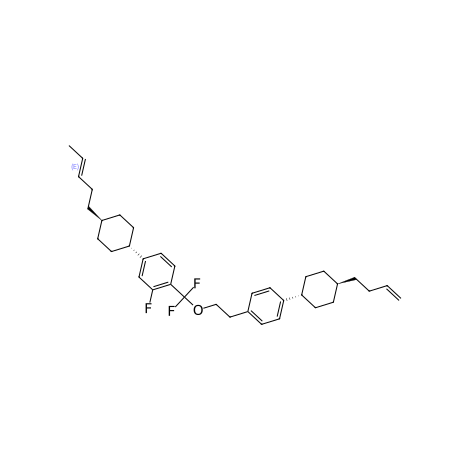 C=CCC[C@H]1CC[C@H](c2ccc(CCOC(F)(F)c3ccc([C@H]4CC[C@H](CC/C=C/C)CC4)cc3F)cc2)CC1